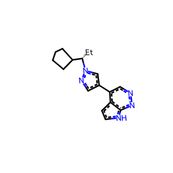 CC[C@@H](C1CCCC1)n1cc(-c2cnnc3[nH]ccc23)cn1